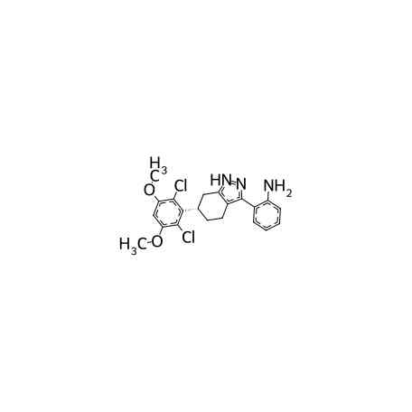 COc1cc(OC)c(Cl)c([C@H]2CCc3c(-c4ccccc4N)n[nH]c3C2)c1Cl